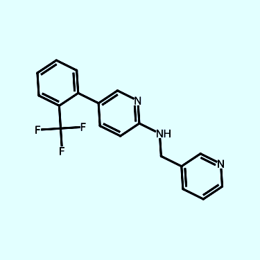 FC(F)(F)c1ccccc1-c1ccc(NCc2cccnc2)nc1